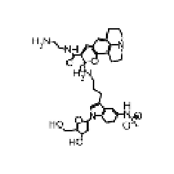 CS(=O)(=O)Nc1ccc2c(c1)c(CCCN)cn2C1CC(O)C(CO)O1.NCCNC(=O)c1cc2cc3c4c(c2oc1=O)CCCN4CCC3